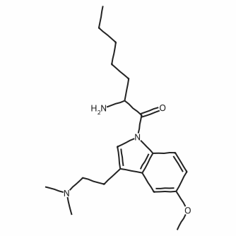 CCCCCC(N)C(=O)n1cc(CCN(C)C)c2cc(OC)ccc21